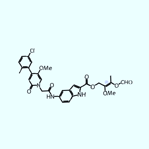 CO/C(COC(=O)c1cc2cc(NC(=O)Cn3cc(OC)c(-c4cc(Cl)ccc4C)cc3=O)ccc2[nH]1)=C(/C)OC=O